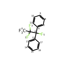 FC(F)(F)C(F)(F)C(F)(c1cc[c]cc1)c1cc[c]cc1